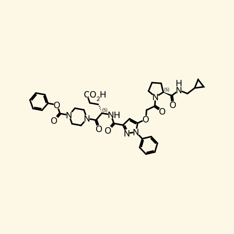 O=C(O)CC[C@H](NC(=O)c1cc(OCC(=O)N2CCC[C@H]2C(=O)NCC2CC2)n(-c2ccccc2)n1)C(=O)N1CCN(C(=O)Oc2ccccc2)CC1